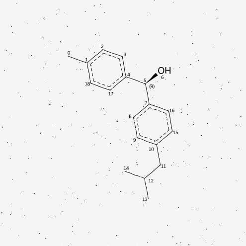 Cc1ccc([C@@H](O)c2ccc(CC(C)C)cc2)cc1